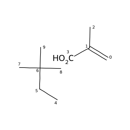 C=C(C)C(=O)O.CCC(C)(C)C